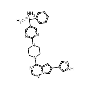 C[C@](N)(c1ccccc1)c1cnc(N2CCN(c3ncnn4cc(-c5cn[nH]c5)cc34)CC2)nc1